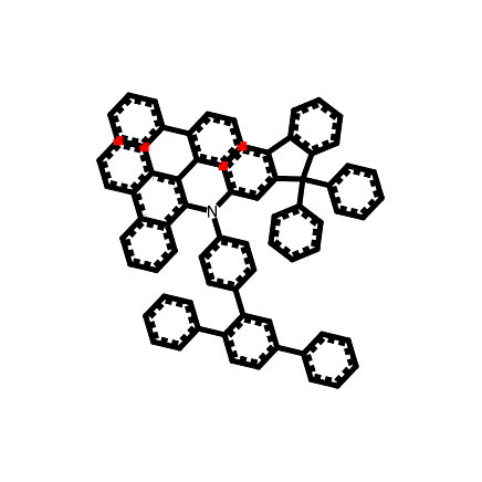 c1ccc(-c2ccc(-c3ccccc3)c(-c3ccc(N(c4ccc5c(c4)C(c4ccccc4)(c4ccccc4)c4ccccc4-5)c4c(-c5ccccc5-c5ccccc5)c5ccccc5c5ccccc45)cc3)c2)cc1